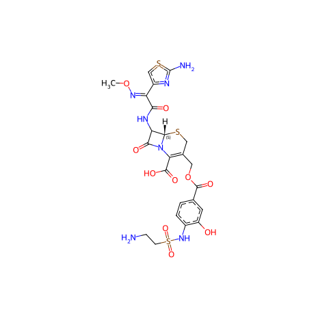 CON=C(C(=O)NC1C(=O)N2C(C(=O)O)=C(COC(=O)c3ccc(NS(=O)(=O)CCN)c(O)c3)CS[C@@H]12)c1csc(N)n1